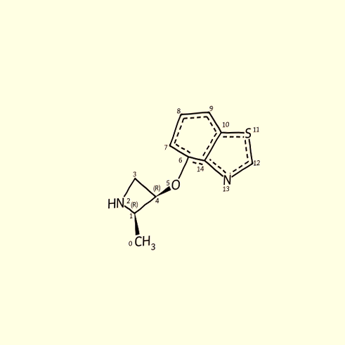 C[C@H]1NC[C@H]1Oc1cccc2scnc12